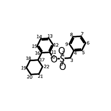 O=S(=O)(Cc1ccccc1)Oc1ccccc1C1CCCCC1